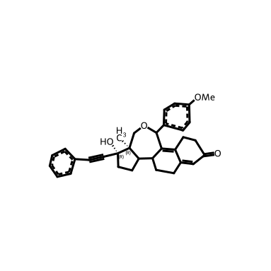 COc1ccc(C2OC[C@@]3(C)C(CC[C@@]3(O)C#Cc3ccccc3)C3CCC4=CC(=O)CCC4=C23)cc1